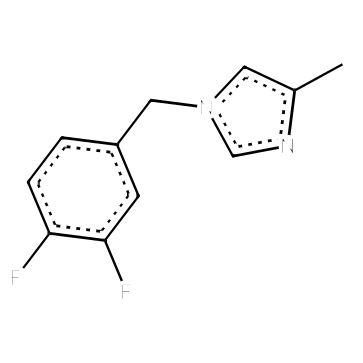 [CH2]c1cn(Cc2ccc(F)c(F)c2)cn1